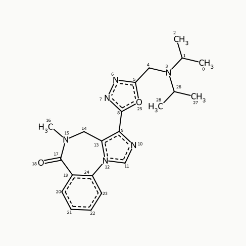 CC(C)N(Cc1nnc(-c2ncn3c2CN(C)C(=O)c2ccccc2-3)o1)C(C)C